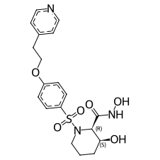 O=C(NO)[C@H]1[C@@H](O)CCCN1S(=O)(=O)c1ccc(OCCc2ccncc2)cc1